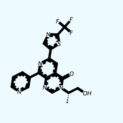 C[C@@H](CO)n1cnc2c(-c3cccnc3)nc(-c3cnc(C(F)(F)F)s3)cc2c1=O